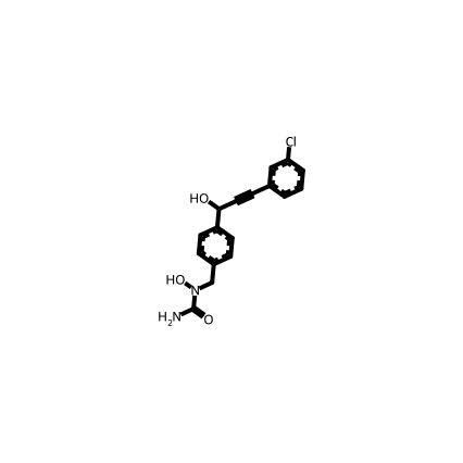 NC(=O)N(O)Cc1ccc(C(O)C#Cc2cccc(Cl)c2)cc1